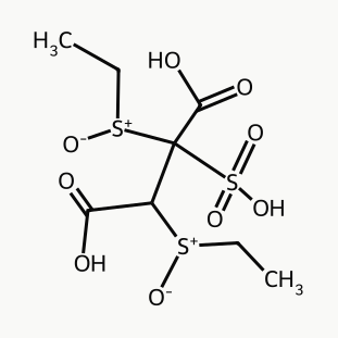 CC[S+]([O-])C(C(=O)O)C(C(=O)O)([S+]([O-])CC)S(=O)(=O)O